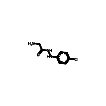 NCC(=O)NNc1ccc(Cl)cc1